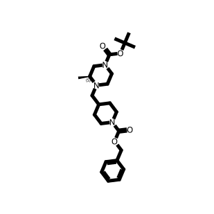 C[C@H]1CN(C(=O)OC(C)(C)C)CCN1CC1CCN(C(=O)OCc2ccccc2)CC1